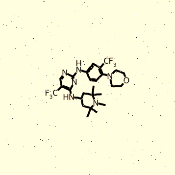 CN1C(C)(C)CC(Nc2nc(Nc3ccc(N4CCOCC4)c(C(F)(F)F)c3)ncc2C(F)(F)F)CC1(C)C